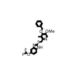 COc1cnc(CSc2nc3cc(OC(F)F)ccc3[nH]2)c(C)c1OCc1ccccc1